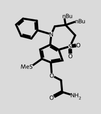 CCCCC1(CCCC)CN(c2ccccc2)c2cc(SC)c(OCC(N)=O)cc2S(=O)(=O)C1